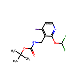 CC(C)(C)OC(=O)NCc1c(I)ccnc1OC(F)F